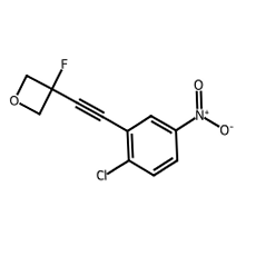 O=[N+]([O-])c1ccc(Cl)c(C#CC2(F)COC2)c1